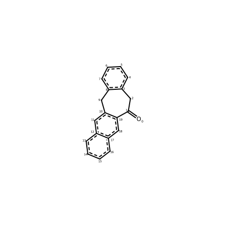 O=C1Cc2ccccc2Cc2cc3ccccc3cc21